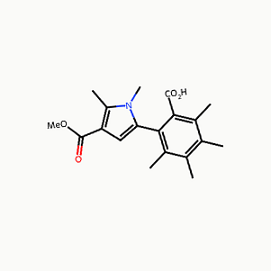 COC(=O)c1cc(-c2c(C)c(C)c(C)c(C)c2C(=O)O)n(C)c1C